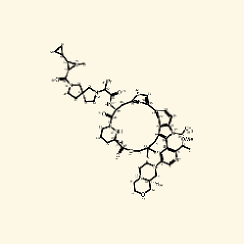 CO[C@@H](C)c1ncc(N2CCN3CCOC[C@@H]3C2)cc1-c1c2c3cc(ccc3n1CC(F)(F)F)-c1csc(n1)C[C@H](NC(=O)C(C(C)C)N1CC[C@]3(CCN(C(=O)[C@H]4C(C5CC5)N4C)C3)C1)C(=O)N1CCC[C@H](N1)C(=O)OCC(C)(C)C2